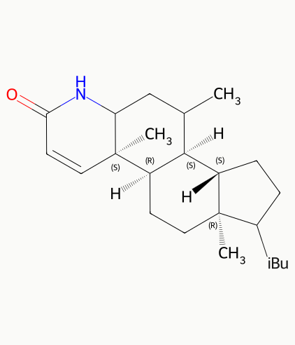 CCC(C)C1CC[C@H]2[C@@H]3C(C)CC4NC(=O)C=C[C@]4(C)[C@@H]3CC[C@]12C